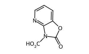 O=C(O)n1c(=O)oc2cccnc21